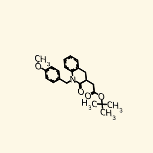 COc1ccc(CN2C(=O)C(CC(=O)OC(C)(C)C)Cc3ccccc32)cc1